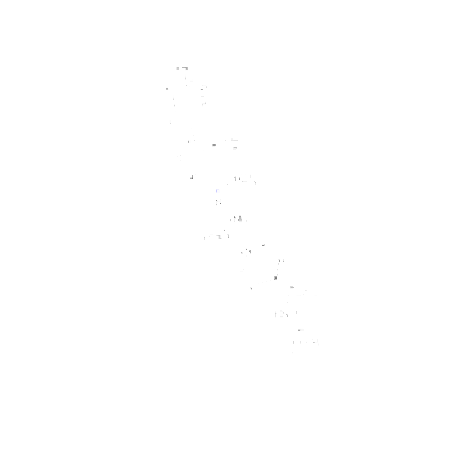 C/C(=N\NC(=S)N1CCC(C(=O)NCC(=O)O)CC1)c1csc(-c2ccc(Br)cc2)c1O